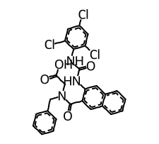 O=C(O)CN(Cc1ccccc1)C(=O)c1cc2ccccc2cc1NC(=O)Nc1c(Cl)cc(Cl)cc1Cl